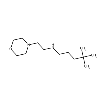 CC(C)(C)CCCNCCN1CCOCC1